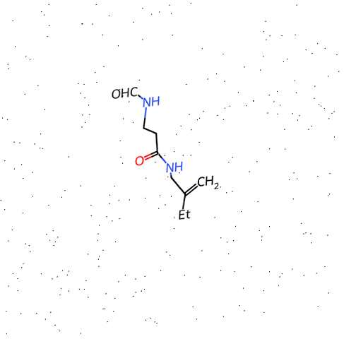 C=C(CC)CNC(=O)CCNC=O